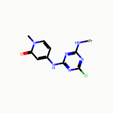 CC(C)Nc1nc(Cl)nc(Nc2ccn(C)c(=O)c2)n1